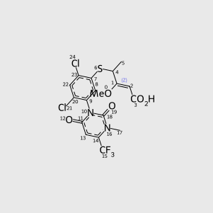 CO/C(=C\C(=O)O)C(C)Sc1cc(-n2c(=O)cc(C(F)(F)F)n(C)c2=O)c(Cl)cc1Cl